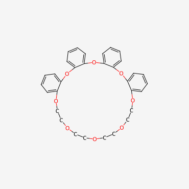 c1ccc2c(c1)OCCOCCOCCOCCOc1ccccc1Oc1ccccc1Oc1ccccc1O2